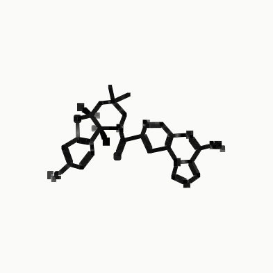 CC1(C)C[C@H]2Oc3cc(C(F)(F)F)ccc3[C@H]2N(C(=O)c2cc3c(cn2)nc(N)c2cncn23)C1